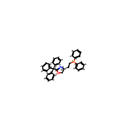 c1ccc(P(CC[C@H]2COC(C(c3ccccc3)(c3ccccc3)c3ccccc3)=N2)c2ccccc2)cc1